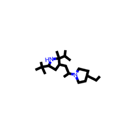 CCC1CCN(C(C)CC2CC(C(C)(C)C)NC2(C)C(C)C)CC1